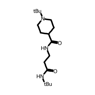 CC(C)(C)NC(=O)CCNC(=O)C1CCN(C(C)(C)C)CC1